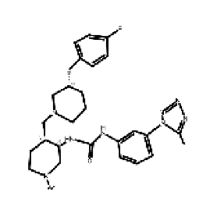 CC(=O)N1CC[C@@H](CN2CCC[C@@H](Cc3ccc(F)cc3)C2)[C@@H](NC(=O)Nc2cccc(-n3nnnc3C)c2)C1